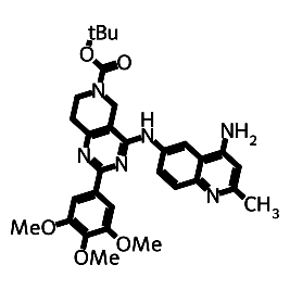 COc1cc(-c2nc3c(c(Nc4ccc5nc(C)cc(N)c5c4)n2)CN(C(=O)OC(C)(C)C)CC3)cc(OC)c1OC